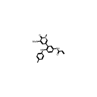 C=CC(=O)Nc1ccc(Nc2ccc(C)cc2)c(-c2cc(NC)c(=O)n(C)c2)c1